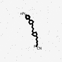 CCCc1ccc(C2CCC(CCCCC3CCC(CCC=CC=C(F)C#N)CC3)CC2)cc1